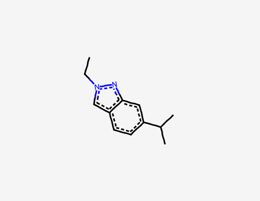 CCn1cc2ccc(C(C)C)cc2n1